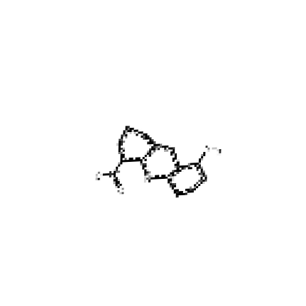 Nc1cccc2nc3c([N+](=O)[O-])cccc3cc12